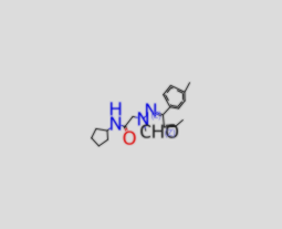 C/C=C\C(=N/N(C=O)CC(=O)NC1CCCC1)c1ccc(C)cc1